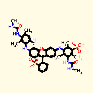 CNC(=O)Nc1c(C)cc(C)c(Nc2ccc3c(-c4ccccc4S(=O)(=O)O)c4cc/c(=N\c5c(C)c(NC(=O)NC)c(C)c(S(=O)(=O)O)c5C)cc-4oc3c2)c1C